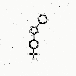 NS(=O)(=O)c1ccc(-c2n[nH]c(-c3cnccn3)n2)cc1